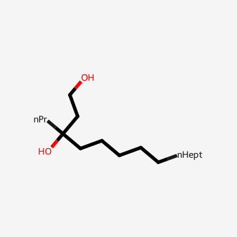 CCCCCCCCCCCCC(O)(CCC)CCO